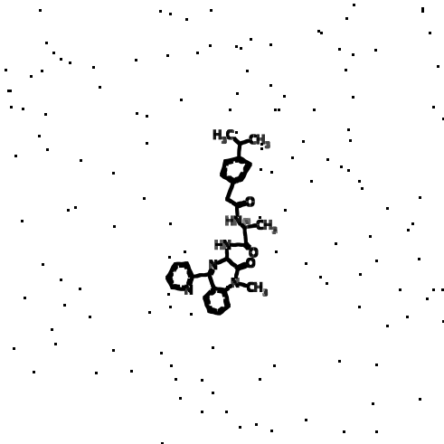 CC(C)c1ccc(CC(=O)N[C@@H](C)C(=O)NC2N=C(c3ccccn3)c3ccccc3N(C)C2=O)cc1